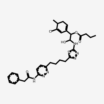 CCCC(=O)OC(C1=CCC(C)C(Cl)=C1)C(O)Nc1nnc(CCCCc2ccc(NC(=O)Cc3ccccc3)nn2)s1